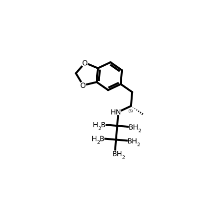 BC(B)(B)C(B)(B)N[C@@H](C)Cc1ccc2c(c1)OCO2